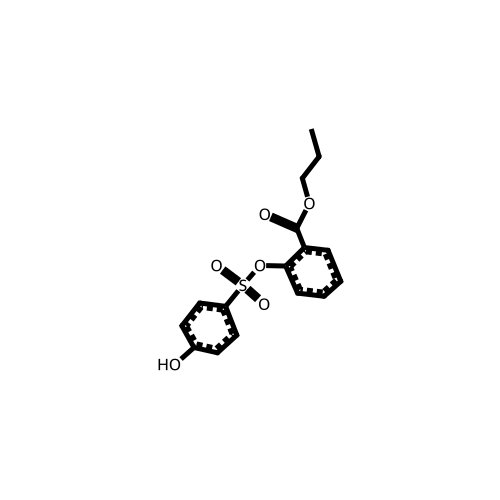 CCCOC(=O)c1ccccc1OS(=O)(=O)c1ccc(O)cc1